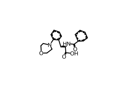 O=C(O)/C(=C/c1ccccc1N1CCOCC1)NC(=O)c1ccccc1